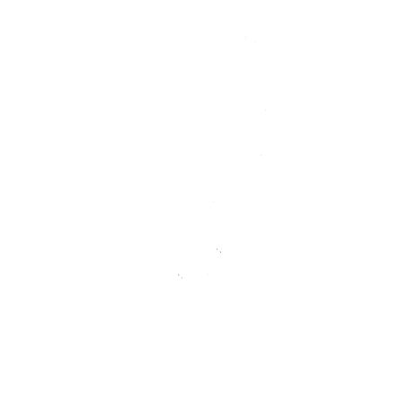 CCOC(=O)CC1(C)CCCc2oc(SNC(=O)Nc3c4c(cc5c3CCC5)CCC4)c(C)c21